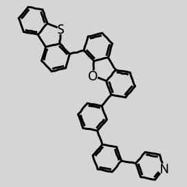 c1cc(-c2ccncc2)cc(-c2cccc(-c3cccc4c3oc3c(-c5cccc6c5sc5ccccc56)cccc34)c2)c1